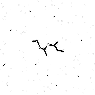 CCOC(C)OC(C)CC